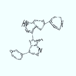 c1cc(-c2ccc3[nH]nc(-c4nc5c(-c6ccoc6)ccnc5[nH]4)c3c2)ccn1